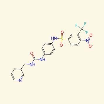 O=C(NCc1cccnc1)Nc1ccc(NS(=O)(=O)c2ccc([N+](=O)[O-])c(C(F)(F)F)c2)cc1